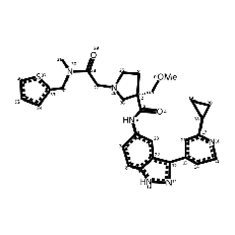 COC[C@@]1(C(=O)Nc2ccc3[nH]nc(-c4ccnc(C5CC5)c4)c3c2)CCN(CC(=O)N(C)Cc2cccs2)C1